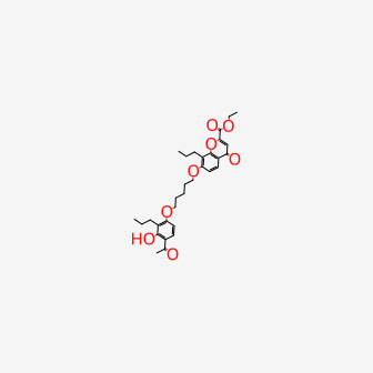 CCCc1c(OCCCCCOc2ccc3c(=O)cc(C(=O)OCC)oc3c2CCC)ccc(C(C)=O)c1O